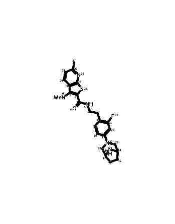 CNc1c(C(=O)NCCc2ccc(N3CC4CCC(C3)N4)cc2F)sc2nc(C)ccc12